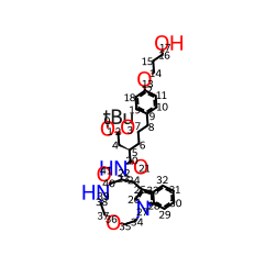 CC(C)(C)OC(=O)C[C@@H](CCCc1ccc(OCCCO)cc1)C(=O)N[C@H]1Cc2cn(c3ccccc23)CCOCCNC1=O